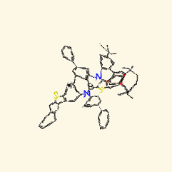 CC(C)(C)c1ccc(N2c3cc(-c4ccccc4)cc4c3B(c3sc5cc6c(cc5c32)C(C)(C)CCC6(C)C)N(c2ccc(-c3ccccc3)cc2)c2cc3c(cc2-4)sc2cc4ccccc4cc23)c(-c2ccccc2)c1